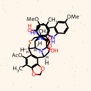 COc1ccc2[nH]c3c(c2c1)CCN[C@]31CS[C@@H]2c3c(OC(C)=O)c(C)c4c(c3[C@H](COC1=O)N1[C@@H]2C2c3c(cc(C)c(OC)c3O)CC1(O)CN2C)OCO4